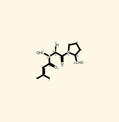 CC(C)=CC(=O)N(C=O)[C@H](C(=O)N1CCCC1C=O)C(C)C